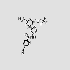 C[C@@]1(c2cc(NC(=O)c3ccc(C#N)cn3)ccn2)C[C@@H](COCC(F)(F)F)SC(N)=N1